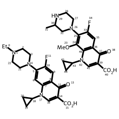 CCN1CCN(c2cc3c(cc2F)c(=O)c(C(=O)O)cn3C2CC2)CC1.COc1c(N2CCNC(C)C2)c(F)cc2c(=O)c(C(=O)O)cn(C3CC3)c12